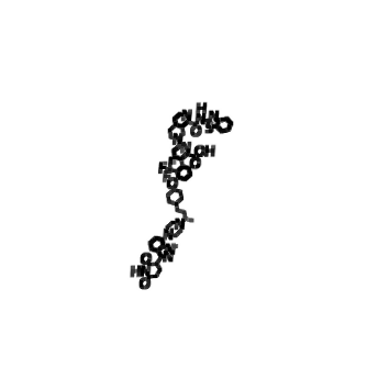 C[C@H](CCC1CCC(Oc2cccc(-c3ccc(N4CCc5ccnc(C(=O)Nc6nc7ccccc7s6)c5C4)nc3C(=O)O)c2C(F)(F)F)CC1)N1CCN(c2cccc3c(C4CCC(=O)NC4=O)nn(C)c23)CC1